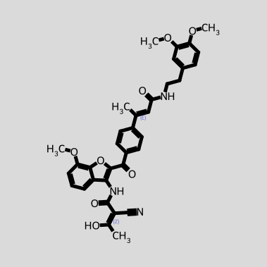 COc1ccc(CCNC(=O)/C=C(\C)c2ccc(C(=O)c3oc4c(OC)cccc4c3NC(=O)/C(C#N)=C(/C)O)cc2)cc1OC